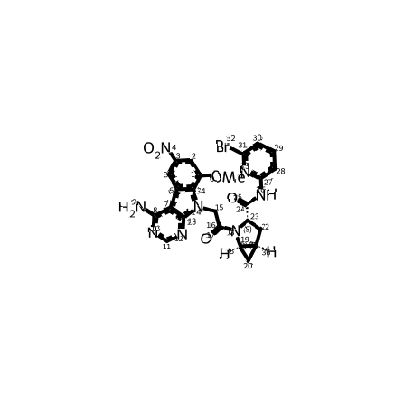 COc1cc([N+](=O)[O-])cc2c3c(N)ncnc3n(CC(=O)N3[C@@H]4C[C@@H]4C[C@H]3C(=O)Nc3cccc(Br)n3)c12